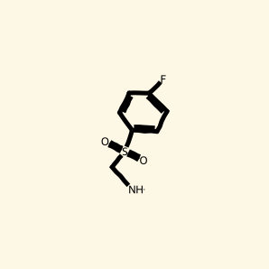 [NH]CS(=O)(=O)c1ccc(F)cc1